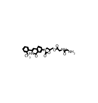 NCC(=O)NCC(=O)OCC1CN(c2ccc3cc(-c4ccccc4C(F)(F)F)[nH]c(=O)c3c2)C(=O)O1